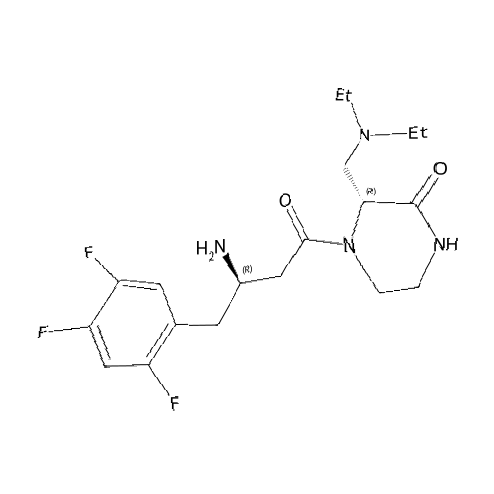 CCN(CC)C[C@@H]1C(=O)NCCN1C(=O)C[C@H](N)Cc1cc(F)c(F)cc1F